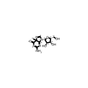 NC1=NC(=O)C2(I)N=CN([C@@H]3O[C@H](CO)[C@@H](O)[C@H]3O)C2=N1